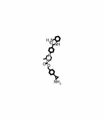 CC1CN(c2ccc(C(=O)Nc3ccccc3N)cc2)CCN1C(=O)OCc1ccc(C2CC2N)cc1